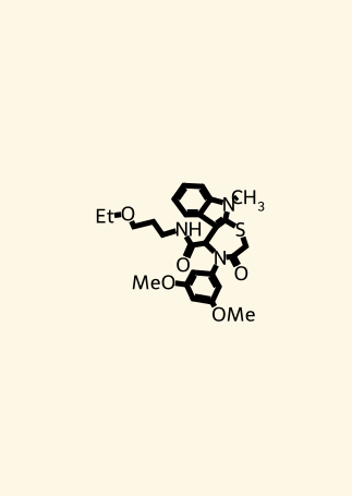 CCOCCCNC(=O)C1c2c(n(C)c3ccccc23)SCC(=O)N1c1cc(OC)cc(OC)c1